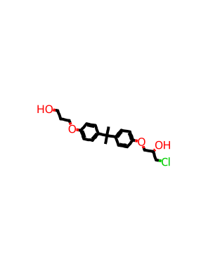 CC(C)(c1ccc(OCCCO)cc1)c1ccc(OCC(O)CCl)cc1